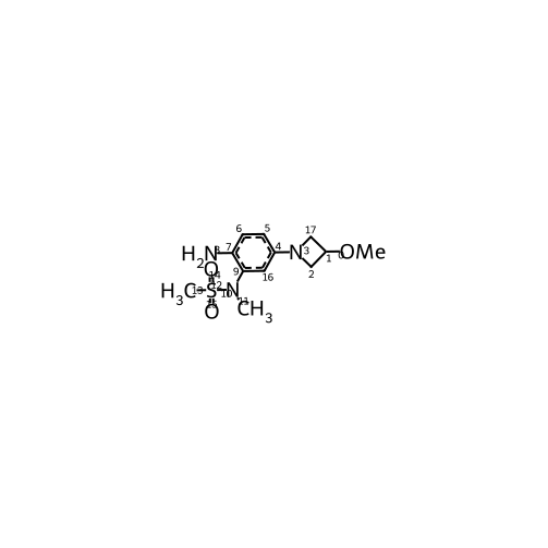 COC1CN(c2ccc(N)c(N(C)S(C)(=O)=O)c2)C1